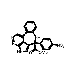 COC(=O)C1(c2ccc([N+](=O)[O-])cc2)Nc2ccccc2-c2cnnc3[nH]cc1c23